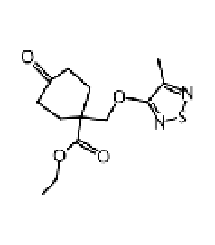 CCOC(=O)C1(COc2nsnc2C)CCC(=O)CC1